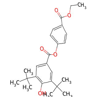 CCOC(=O)c1ccc(OC(=O)c2cc(C(C)(C)C)c(O)c(C(C)(C)C)c2)cc1